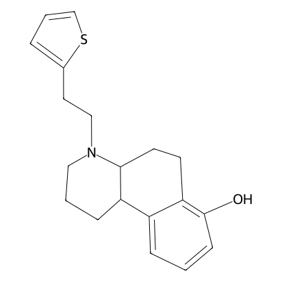 Oc1cccc2c1CCC1C2CCCN1CCc1cccs1